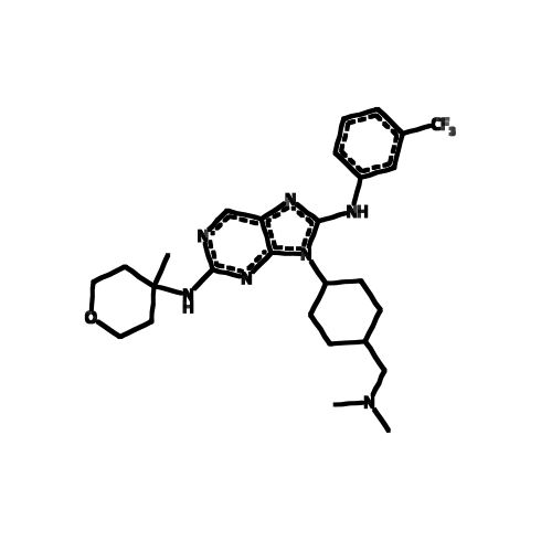 CN(C)CC1CCC(n2c(Nc3cccc(C(F)(F)F)c3)nc3cnc(NC4(C)CCOCC4)nc32)CC1